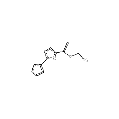 CCOC(=O)c1csc(-c2ccsc2)n1